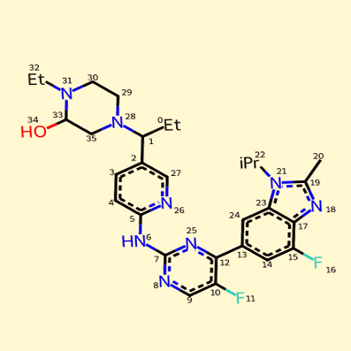 CCC(c1ccc(Nc2ncc(F)c(-c3cc(F)c4nc(C)n(C(C)C)c4c3)n2)nc1)N1CCN(CC)C(O)C1